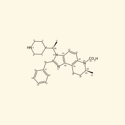 C[C@H](C1CCNCC1)n1c(Cc2ccccc2)nc2c3c(ccc21)N(C(=O)O)[C@@H](C)CC3